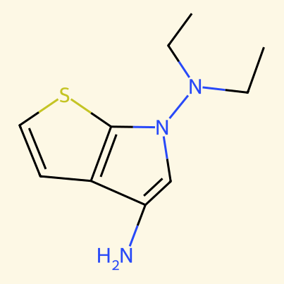 CCN(CC)n1cc(N)c2ccsc21